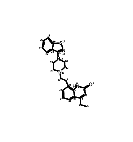 CCc1cc(=O)[nH]c2c(CCN3CCN(c4nsc5ccccc45)CC3)cccc12